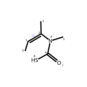 C/C=C(/C)N(C)C(=O)S